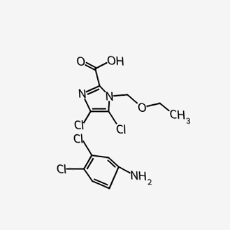 CCOCn1c(C(=O)O)nc(Cl)c1Cl.Nc1ccc(Cl)c(Cl)c1